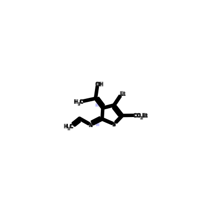 C=C/N=C1/SC(C(=O)OCC)=C(CC)/C1=C(/C)O